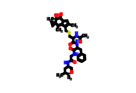 CC(=O)NC(CSCC1=C(C)C=C2C(=O)[C@](C)(O)C3(CC3)C(C)=C21)C(=O)NC(Cc1ccccc1)C(=O)NCC(=O)NC(C=O)CC(C)C